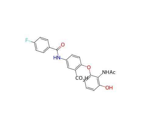 CC(=O)Nc1c(O)cccc1Oc1ccc(NC(=O)c2ccc(F)cc2)cc1C(=O)O